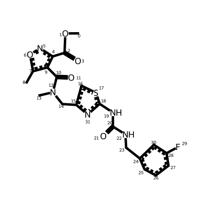 COC(=O)c1noc(C)c1C(=O)N(C)Cc1csc(NC(=O)NCc2cccc(F)c2)n1